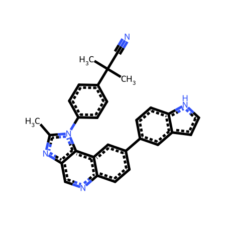 Cc1nc2cnc3ccc(-c4ccc5[nH]ccc5c4)cc3c2n1-c1ccc(C(C)(C)C#N)cc1